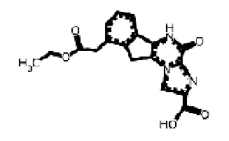 CCOC(=O)Cc1cccc2c1Cc1c-2[nH]c(=O)c2nc(C(=O)O)cn12